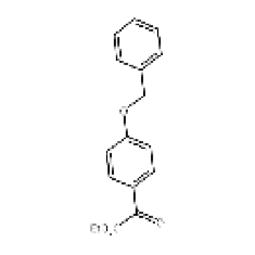 CCOC(=O)C(=O)c1ccc(OCc2ccccc2)cc1